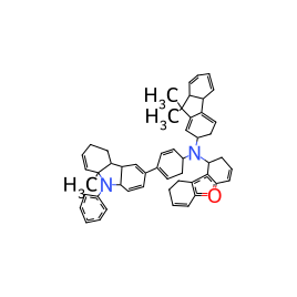 CC1(C)C2=CC(N(C3C=CC(C4=CC5C(C=C4)N(c4ccccc4)C4(C)C=CCCC54)=CC3)C3CC=Cc4oc5c(c43)CCC=C5)CC=C2C2C=CC=CC21